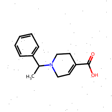 CC(c1ccccc1)N1CC=C(C(=O)O)CC1